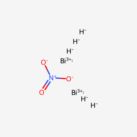 O=[N+]([O-])[O-].[Bi+3].[Bi+3].[H-].[H-].[H-].[H-].[H-]